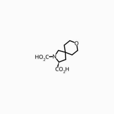 O=C(O)[C@@H]1CC2(CCOCC2)CN1C(=O)O